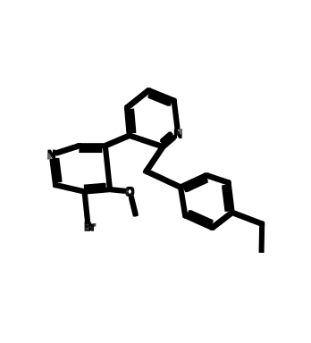 CCc1ccc(Cc2ncccc2-c2cncc(Br)c2OC)cc1